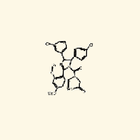 COC1=CC(OC(C)C)=C(C2=NC(c3cccc(Cl)c3)C(c3ccc(Cl)cc3)N2C(=O)N2C=CNC(=O)C2)CC1